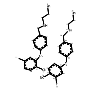 CC(C)CCNCc1ccc(Oc2cc(F)ccc2C#N)cc1.CC(C)CCNCc1ccc(Oc2ccc(C#N)c(F)c2)cc1